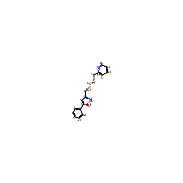 c1ccc(-c2cc(CSSSCc3ccccn3)no2)cc1